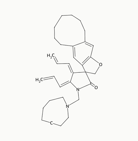 C=C/C=C1\C(=C/C=C)N(CN2CCCCCCC2)C(=O)C12COc1cc3c(cc12)CCCCCCC3